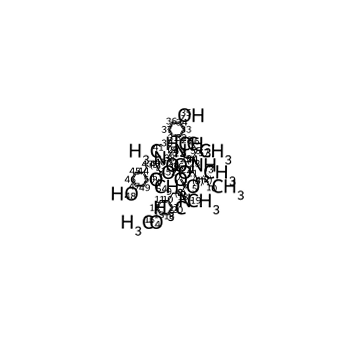 CC[C@@H](C)[C@H](OC(=O)[C@H](Cc1ccc(OC)cc1)N(C)C)C(=O)N[C@@H](C(=O)N(C)[C@@H](Cc1ccc(O)cc1)C(=O)N(C)[C@@H](Cc1ccc(O)cc1)C(=O)OC)C(C)C